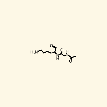 CC(=O)NCC(=O)N[C@H](C=O)CCCCN